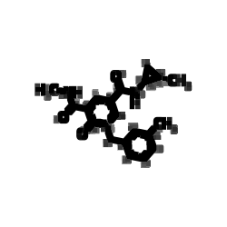 CNC(=O)c1cc(C(=O)N[C@H]2C[C@@H]2C)cn(Cc2cccc(C)c2)c1=O